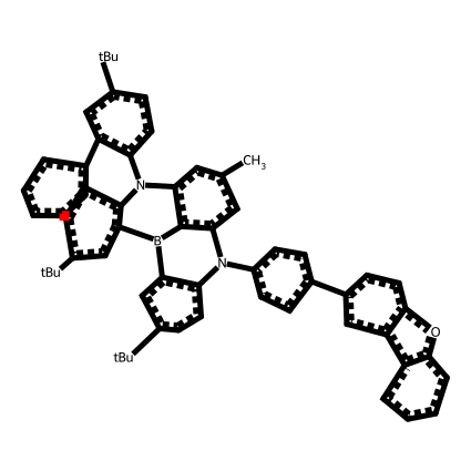 Cc1cc2c3c(c1)N(c1ccc(C(C)(C)C)cc1-c1ccccc1)c1ccc(C(C)(C)C)cc1B3c1cc(C(C)(C)C)ccc1N2c1ccc(-c2ccc3oc4ccccc4c3c2)cc1